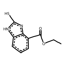 CCOC(=O)c1cccc2[nH]c(S)nc12